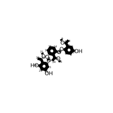 COC(C)c1cc(O)ccc1OOc1cccc(OOc2cc(O)cc(O)c2C(C)OC)c1C(C)OC